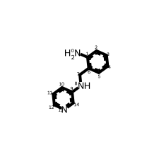 Nc1ccccc1CNc1cccnc1